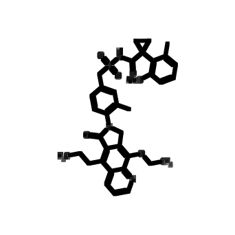 COc1cccc(C)c1C1(C(=O)NS(=O)(=O)Cc2ccc(N3Cc4c(c(CCC(F)(F)F)c5cccnc5c4OCC(F)(F)F)C3=O)c(C)c2)CC1